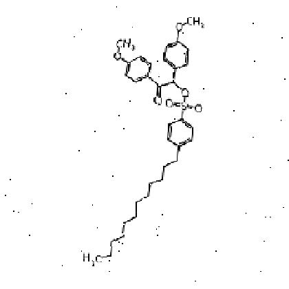 CCCCCCCCCCCCc1ccc(S(=O)(=O)OC(C(=O)c2ccc(OC)cc2)c2ccc(OC)cc2)cc1